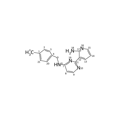 Cc1ccc(CNc2ccnc(-c3cccnc3N)n2)cc1